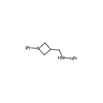 CCCNCC1CN(C(C)C)C1